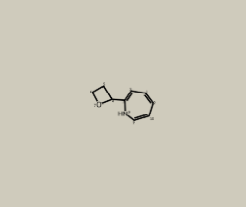 C1=CC=C([C]2CCO2)NC=C1